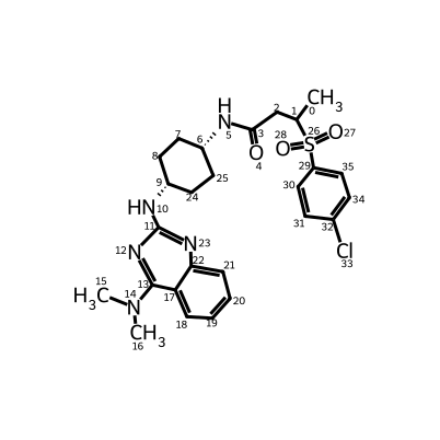 CC(CC(=O)N[C@H]1CC[C@@H](Nc2nc(N(C)C)c3ccccc3n2)CC1)S(=O)(=O)c1ccc(Cl)cc1